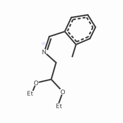 CCOC(C/N=C\c1ccccc1C)OCC